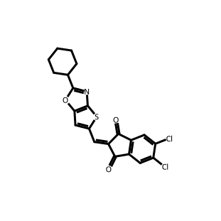 O=C1C(=Cc2cc3oc(C4CCCCC4)nc3s2)C(=O)c2cc(Cl)c(Cl)cc21